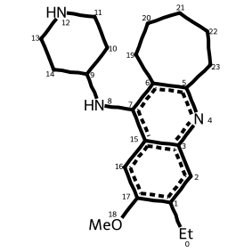 CCc1cc2nc3c(c(NC4CCNCC4)c2cc1OC)CCCCC3